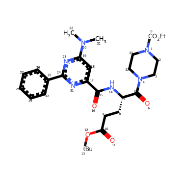 CCOC(=O)N1CCN(C(=O)[C@H](CCC(=O)OC(C)(C)C)NC(=O)c2cc(N(C)C)nc(-c3ccccc3)n2)CC1